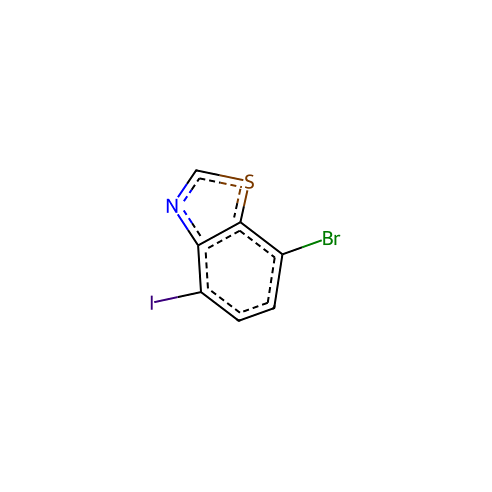 Brc1ccc(I)c2ncsc12